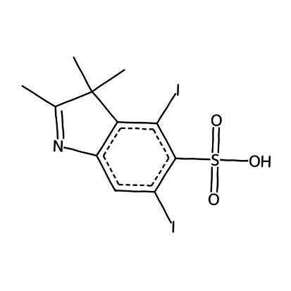 CC1=Nc2cc(I)c(S(=O)(=O)O)c(I)c2C1(C)C